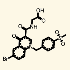 CS(=O)(=O)c1ccc(Cn2cc(C(=O)NCC(=O)O)c(=O)c3cc(Br)ccc32)cc1